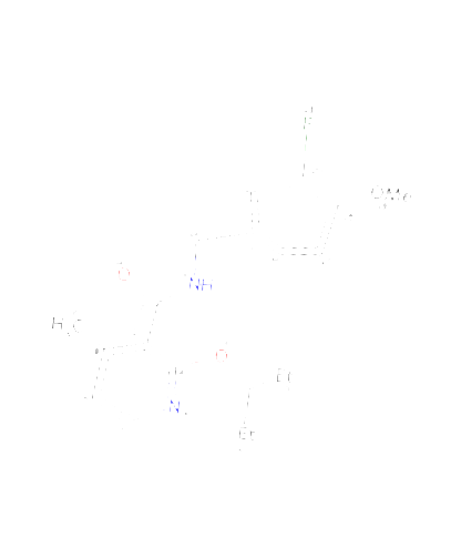 CCC(CC)Oc1nccc(C)c1C(=O)NCc1ccc(OC)c(F)c1